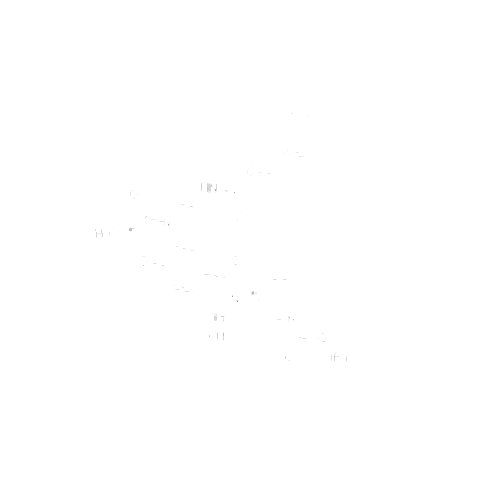 C#Cc1cc2c(cc1C(=O)N(C(C)C)[C@@H]1CCCN(C(=O)OC(C)(C)C)C1)N(CCNC(=O)OCc1ccccc1)C(=O)[C@@H](C)O2